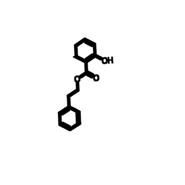 O=C(OCCc1ccccc1)C1=C(O)C=CC[CH]1